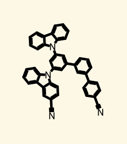 N#Cc1ccc(-c2cccc(-c3cc(-n4c5ccccc5c5ccccc54)cc(-n4c5ccccc5c5cc(C#N)ccc54)c3)c2)cc1